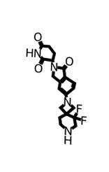 O=C1CCC(N2Cc3cc(N4CC5(CCNCC5(F)F)C4)ccc3C2=O)C(=O)N1